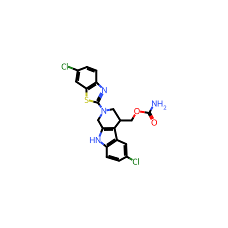 NC(=O)OCC1CN(c2nc3ccc(Cl)cc3s2)Cc2[nH]c3ccc(Cl)cc3c21